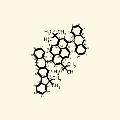 CC(C)(C)c1cc(N2c3ccccc3Sc3ccccc32)c2ccc3c(C(C)(C)C)cc(N4c5ccccc5Sc5cc6c(cc54)C(C)(C)c4ccccc4-6)c4ccc1c2c43